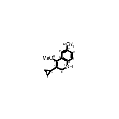 COC1=C(C2CC2)CNc2ccc(C)cc21